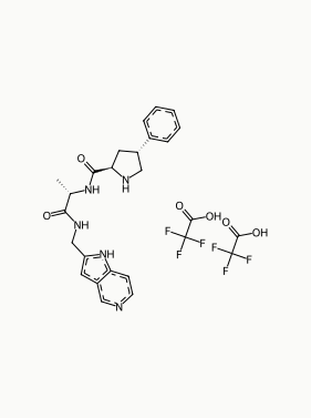 C[C@H](NC(=O)[C@H]1C[C@H](c2ccccc2)CN1)C(=O)NCc1cc2cnccc2[nH]1.O=C(O)C(F)(F)F.O=C(O)C(F)(F)F